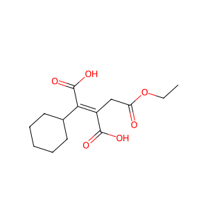 CCOC(=O)CC(C(=O)O)=C(C(=O)O)C1CCCCC1